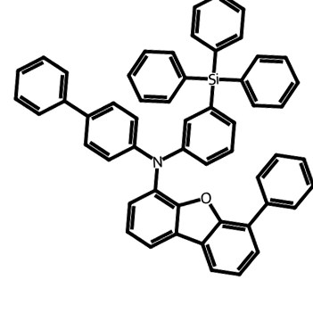 c1ccc(-c2ccc(N(c3cccc([Si](c4ccccc4)(c4ccccc4)c4ccccc4)c3)c3cccc4c3oc3c(-c5ccccc5)cccc34)cc2)cc1